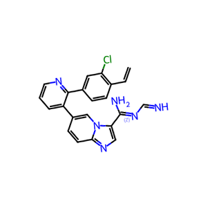 C=Cc1ccc(-c2ncccc2-c2ccc3ncc(/C(N)=N/C=N)n3c2)cc1Cl